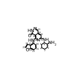 NC1CCCC[C@H]1Nc1cc2cn[nH]c(=O)c2c(Nc2cccc3occc23)n1